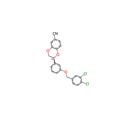 N#Cc1ccc2c(c1)OC[C@H](c1cccc(OCc3ccc(Cl)c(Cl)c3)c1)O2